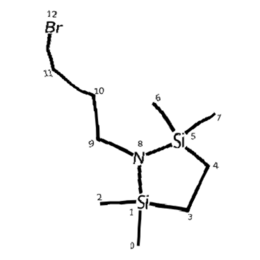 C[Si]1(C)CC[Si](C)(C)N1CCCBr